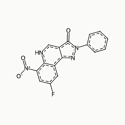 O=c1c2c[nH]c3c([N+](=O)[O-])cc(F)cc3c-2nn1-c1ccccc1